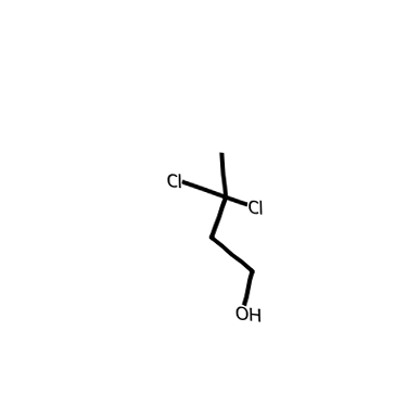 CC(Cl)(Cl)CCO